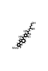 CCc1cc(C(=N)c2ccccc3c(-c4ccc(OC)c(F)c4F)cnc2-3)ccc1C(=O)C(=N)CCC(=N)CCCO